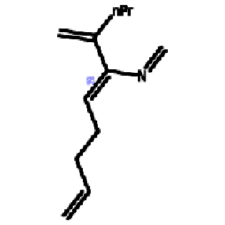 C=CCC/C=C(\N=C)C(=C)CCC